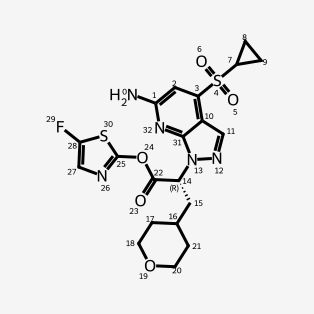 Nc1cc(S(=O)(=O)C2CC2)c2cnn([C@H](CC3CCOCC3)C(=O)Oc3ncc(F)s3)c2n1